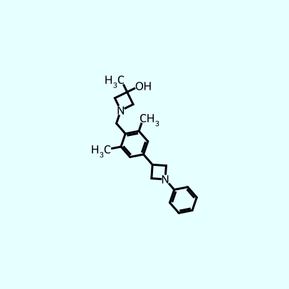 Cc1cc(C2CN(c3ccccc3)C2)cc(C)c1CN1CC(C)(O)C1